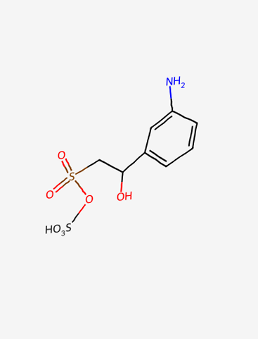 Nc1cccc(C(O)CS(=O)(=O)OS(=O)(=O)O)c1